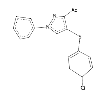 CC(=O)c1nn(-c2ccccc2)cc1SC1=CCC(Cl)C=C1